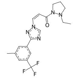 CCN1CCCN1C(=O)/C=C\n1cnc(-c2cc(C)cc(C(F)(F)F)c2)n1